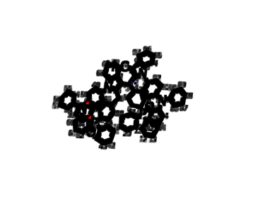 C=c1/c(=C(/C2=CCC(P(=O)(c3ccccc3)c3ccccc3)C=C2)c2c(Cc3ccc(P(=O)(c4ccccc4)c4ccccc4)cc3)n(-c3ccc(N(c4ccccc4)c4ccccc4)cc3)c3ccccc23)n(-c2ccc(N(c3ccccc3)c3ccccc3)cc2)c2ccccc12